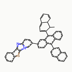 CC1C(c2c3ccccc3c(-c3ccc4ccccc4c3)c3ccc(-c4ccc5nc6c7ccccc7sc6n5c4)cc23)=CC=C2C=CC=CC21